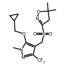 Cn1nc(C(F)(F)F)c(CS(=O)(=O)C2=NOC(C)(C)C2)c1OCC1CC1